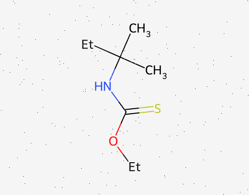 CCOC(=S)NC(C)(C)CC